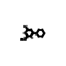 CCc1cc(N2CCCCC2)nc(OC)n1